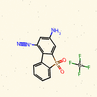 F[B-](F)(F)F.N#[N+]c1cc(N)cc2c1-c1ccccc1S2(=O)=O